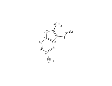 CCC(C)Cc1c(C)oc2ccc(N)cc12